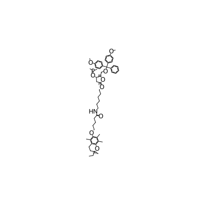 CC[C@]1(C)CCc2c(C)c(OCCCCC(=O)NCCCCCCO[C@H]3CC(OP(C)C)[C@@H](COC(c4ccccc4)(c4ccc(OC)cc4)c4ccc(OC)cc4)O3)c(C)c(C)c2O1